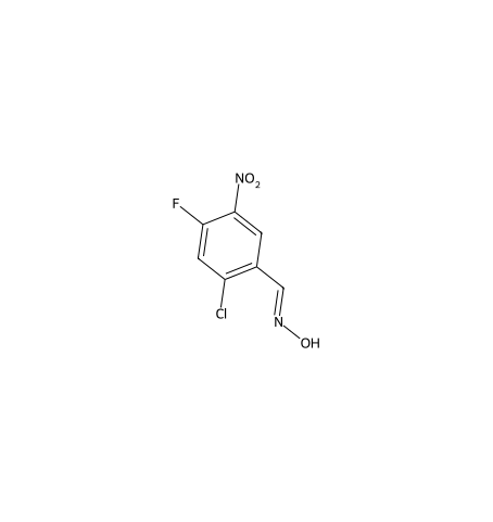 O=[N+]([O-])c1cc(C=NO)c(Cl)cc1F